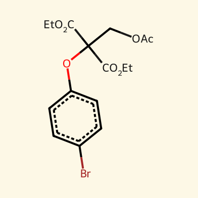 CCOC(=O)C(COC(C)=O)(Oc1ccc(Br)cc1)C(=O)OCC